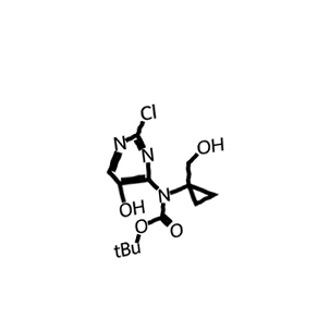 CC(C)(C)OC(=O)N(c1nc(Cl)ncc1O)C1(CO)CC1